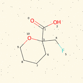 O=C(O)C1(CF)CCCCO1